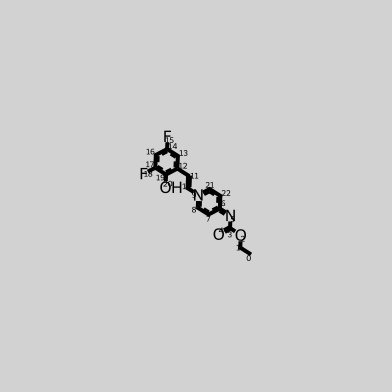 CCOC(=O)N=c1ccn(/C=C/c2cc(F)cc(F)c2O)cc1